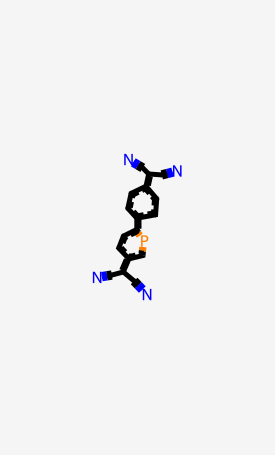 N#CC(C#N)=c1ccc(=c2ccc(=C(C#N)C#N)cp2)cc1